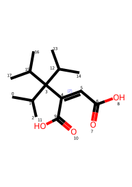 CC(C)C(/C(=C/C(=O)O)C(=O)O)(C(C)C)C(C)C